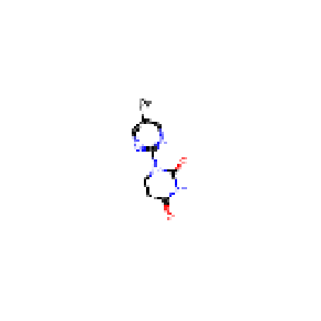 CC(C)c1cnc(N2CCC(=O)NC2=O)nc1